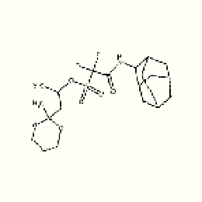 CC1(CC(OS(=O)(=O)C(F)(F)C(=O)NC2C3CC4CC(C3)CC2C4)C(F)(F)F)OCCCO1